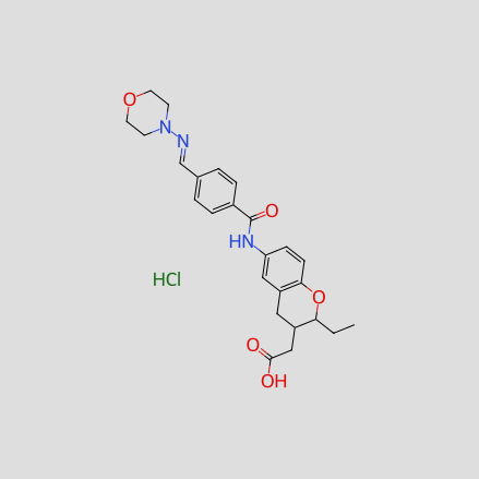 CCC1Oc2ccc(NC(=O)c3ccc(C=NN4CCOCC4)cc3)cc2CC1CC(=O)O.Cl